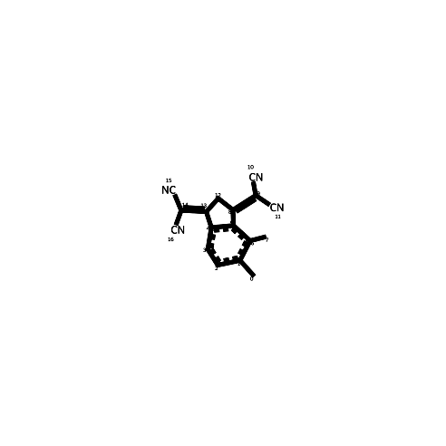 Cc1ccc2c(c1C)C(=C(C#N)C#N)CC2=C(C#N)C#N